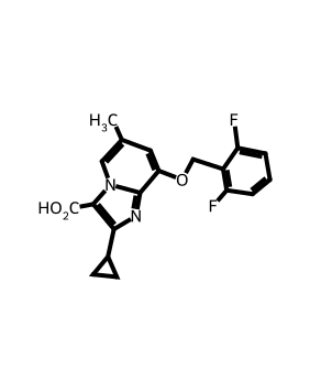 Cc1cc(OCc2c(F)cccc2F)c2nc(C3CC3)c(C(=O)O)n2c1